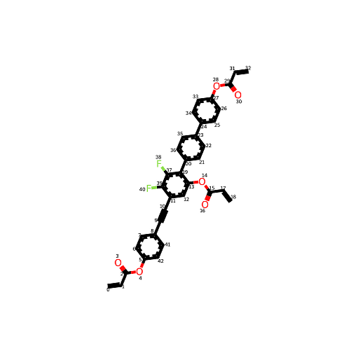 C=CC(=O)Oc1ccc(C#Cc2cc(OC(=O)C=C)c(-c3ccc(-c4ccc(OC(=O)C=C)cc4)cc3)c(F)c2F)cc1